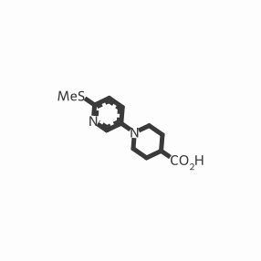 CSc1ccc(N2CCC(C(=O)O)CC2)cn1